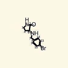 O=C1NCC[C@H]1NCc1ccc(Br)cc1